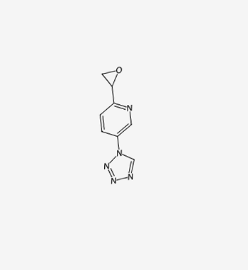 c1cc(C2CO2)ncc1-n1cnnn1